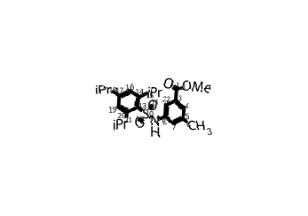 COC(=O)c1cc(C)cc(NS(=O)(=O)c2c(C(C)C)cc(C(C)C)cc2C(C)C)c1